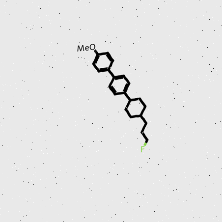 COc1ccc(-c2ccc(C3CCC(CCCF)CC3)cc2)cc1